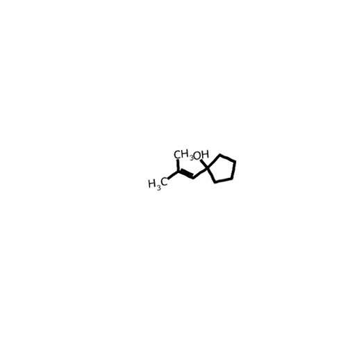 CC(C)=CC1(O)CCCC1